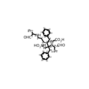 CC(C)C(C=O)NCCC[C@@H](Cc1ccccc1)C(Cc1ccccc1)(NC(=O)O)N(NC(=O)O)[C@H](C=O)C(C)C